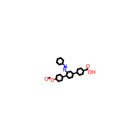 O=COc1ccc(-c2ccc(-c3ccc(C(=O)O)cc3)cc2/N=N/c2ccccc2)cc1